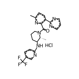 Cc1ccc(-c2ncccn2)c(C(=O)N2CCC[C@H](Nc3ccc(C(F)(F)F)cn3)[C@H]2C)n1.Cl